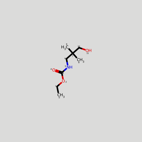 CCOC(=O)NCC(C)(C)CO